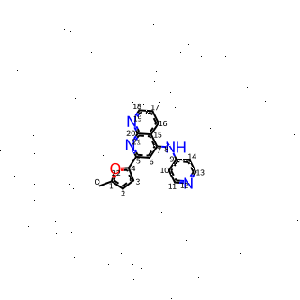 Cc1ccc(-c2cc(Nc3ccncc3)c3cccnc3n2)o1